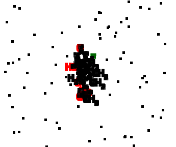 C=C1C(=C)[C@H]2[C@@H]3CC(F)C4=CC(=O)C=C[C@]4(C)[C@H]3C(O)C[C@]2(C)[C@H]1C(=O)COS(C)(=O)=O